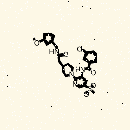 COc1cccc(CNC(=O)CC2CCN(c3ncc(S(C)(=O)=O)cc3NC(=O)c3cccc(Cl)c3)CC2)c1